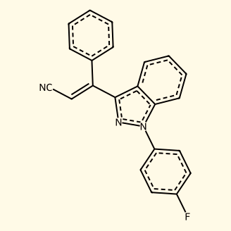 N#CC=C(c1ccccc1)c1nn(-c2ccc(F)cc2)c2ccccc12